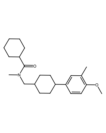 COc1ccc(C2CCC(CN(C)C(=O)C3CCCCC3)CC2)cc1C